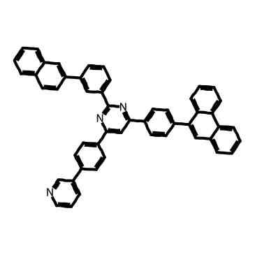 c1cncc(-c2ccc(-c3cc(-c4ccc(-c5cc6ccccc6c6ccccc56)cc4)nc(-c4cccc(-c5ccc6ccccc6c5)c4)n3)cc2)c1